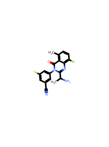 Cc1ccc(F)c2nc(C(C)N)n(-c3cc(F)cc(C#N)c3)c(=O)c12